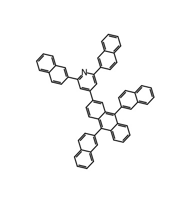 c1ccc2cc(-c3cc(-c4ccc5c(-c6ccc7ccccc7c6)c6ccccc6c(-c6ccc7ccccc7c6)c5c4)cc(-c4ccc5ccccc5c4)n3)ccc2c1